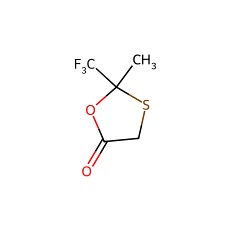 CC1(C(F)(F)F)OC(=O)CS1